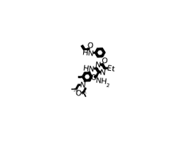 C=CC(=O)Nc1cccc(Oc2nc(Nc3ccc(N4C[C@@H](C)O[C@@H](C)C4)c(C)c3)c(C(N)=O)nc2CC)c1